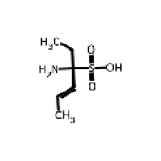 CC=CC(N)(CC)S(=O)(=O)O